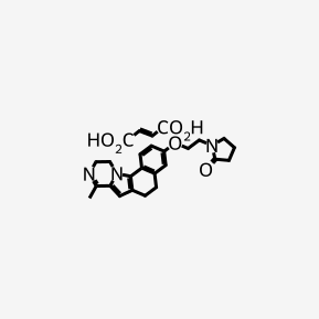 CC1=NCCn2c1cc1c2-c2ccc(OCCN3CCCC3=O)cc2CC1.O=C(O)C=CC(=O)O